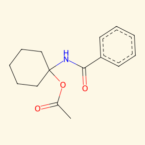 CC(=O)OC1(NC(=O)c2ccccc2)CCCCC1